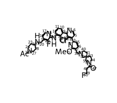 COc1nc(-c2ccnc(-c3cccc(Nc4nccc(CNC5CCN(C(C)=O)CC5)c4F)c3Cl)c2Cl)ccc1CN1CC[C@]2(CCN(C(=O)CCF)C2)C1